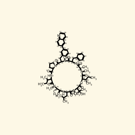 CCC(C)C1NC(=O)C2CCCN2C(=O)C(Cc2cccc(-c3ccc4ncccc4c3)c2)N(C)C(=O)C(Cc2ccccc2)NC(=O)[C@H](C)N(C)C(=O)C([C@H](C)CC)OC(=O)C(C(C)(C)O)N(C)C(=O)C(CC(C)C)NC(=O)[C@H](C)N(C)C1=O